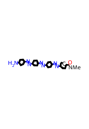 CNC(=O)c1ccc(N=Nc2ccc(N=Nc3ccc(N=Nc4ccc(N)cc4)cc3)cc2)cc1